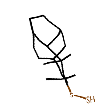 CC(C)(C)C1C2CCC1CC(C(C)(C)SS)C2